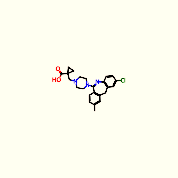 Cc1ccc2c(c1)Cc1cc(Cl)ccc1N=C2N1CCN(CC2(C(=O)O)CC2)CC1